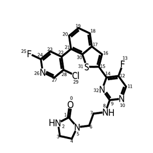 O=C1NCCN1CCNc1ncc(F)c(-c2cc3cccc(-c4cc(F)ncc4Cl)c3s2)n1